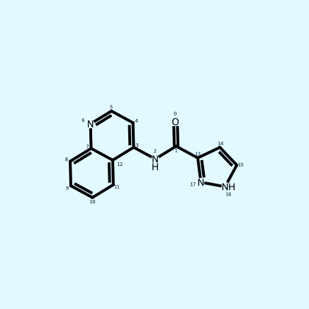 O=C(Nc1ccnc2ccccc12)c1cc[nH]n1